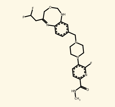 CNC(=O)c1ccc(N2CCN(Cc3ccc4c(c3)NCOC/C(CC(F)F)=N\4)CC2)c(F)n1